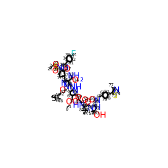 CCOC(=O)c1ccc(Nc2c(C(N)=O)c(-c3ccc(NS(=O)(=O)CC)c(O[C@@H](C)c4ccc(F)cc4)c3)nn2COCC[Si](C)(C)C)nc1OCC(=O)N[C@H](C(=O)N1C[C@H](O)C[C@H]1C(=O)NCc1ccc(-c2scnc2C)cc1)C(C)(C)C